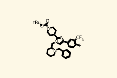 CC(C)(C)OC(=O)N1CCC(c2nc(-c3ccc(F)c(C(F)(F)F)c3)cn2CC2CCCCN2Cc2ccccc2)CC1